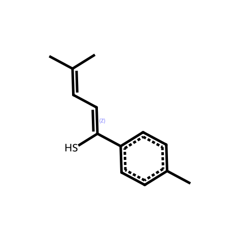 CC(C)=C/C=C(\S)c1ccc(C)cc1